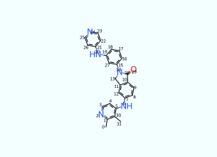 Cc1nccc(Nc2ccc3c(c2)CN(c2cccc(Nc4ccncc4)c2)C3=O)c1C